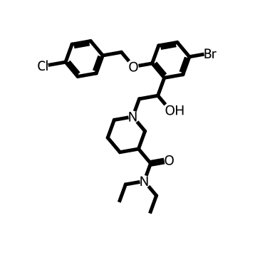 CCN(CC)C(=O)C1CCCN(CC(O)c2cc(Br)ccc2OCc2ccc(Cl)cc2)C1